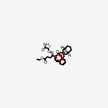 CCOC(=O)CC/C(=N\OCC(N)=O)c1nc2ccccc2n([C@H]2C[C@H]3CCC[C@@H](C2)N3C2CC3CCCCC(C3)C2)c1=O